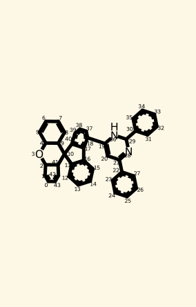 C1=CC2OC3C=CC=CC3C3(c4ccccc4-c4c(C5=CC(c6ccccc6)=NC(c6ccccc6)N5)cccc43)C2C=C1